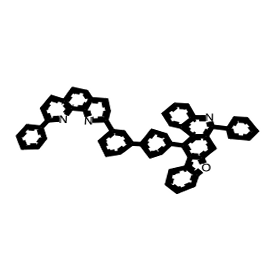 c1ccc(-c2ccc3ccc4ccc(-c5cccc(-c6ccc(-c7c8c(cc9c(-c%10ccccc%10)nc%10ccccc%10c79)oc7ccccc78)cc6)c5)nc4c3n2)cc1